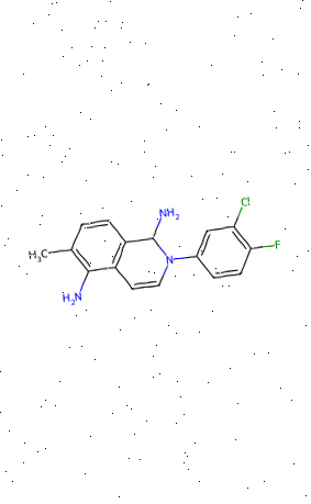 Cc1ccc2c(c1N)C=CN(c1ccc(F)c(Cl)c1)C2N